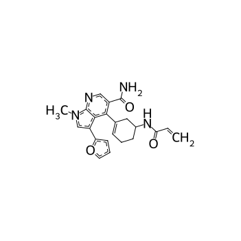 C=CC(=O)NC1CCC=C(c2c(C(N)=O)cnc3c2c(-c2ccco2)cn3C)C1